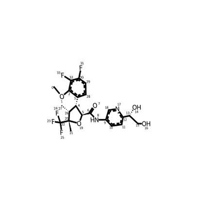 COc1c([C@@H]2[C@@H](C(=O)Nc3ccc([C@H](O)CO)nc3)O[C@](C)(C(F)(F)F)[C@@H]2C)ccc(F)c1F